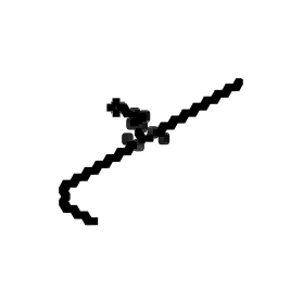 CCCCC/C=C\C/C=C\CCCCCCCCCCCC(=O)O[C@H](COC(=O)CCCCCCCCCCCCCCC)COP(=O)([O-])OCC[N+](C)(C)C